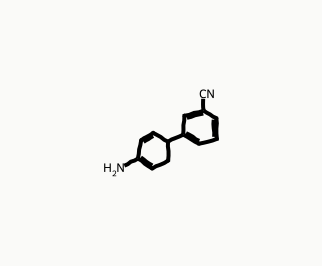 N#Cc1cccc(C2C=CC(N)=CC2)c1